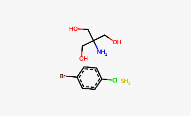 Clc1ccc(Br)cc1.NC(CO)(CO)CO.S